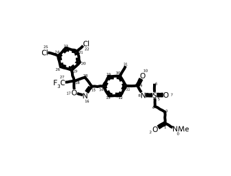 CNC(=O)CCS(C)(=O)=NC(=O)c1ccc(C2=NOC(c3cc(Cl)cc(Cl)c3)(C(F)(F)F)C2)cc1C